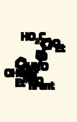 CCCCC[C@@H](C(=O)NCNC(=O)c1ccc(-c2cc(OCC)cc(C(=O)O)c2)o1)[C@@H](CC)N(C=O)OCc1ccccc1